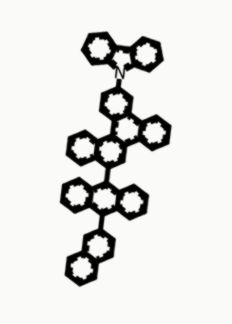 c1ccc2cc(-c3c4ccccc4c(-c4cc5c6ccccc6c6cc(-n7c8ccccc8c8ccccc87)ccc6c5c5ccccc45)c4ccccc34)ccc2c1